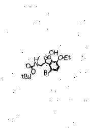 CCOc1ccc(Br)c2c1B(O)OC2CNC(=O)OC(C)(C)C